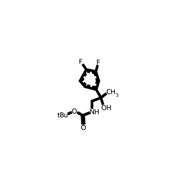 CC(C)(C)OC(=O)NCC(C)(O)c1ccc(F)c(F)c1